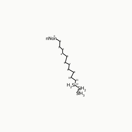 CCCCCCCCCCCCCCCCCCCC[SiH2][SiH2][SiH3]